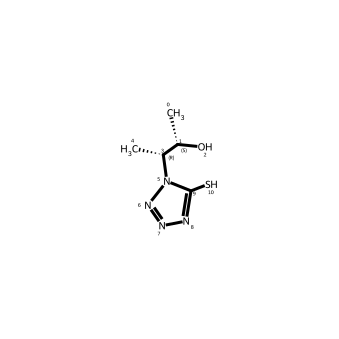 C[C@H](O)[C@@H](C)n1nnnc1S